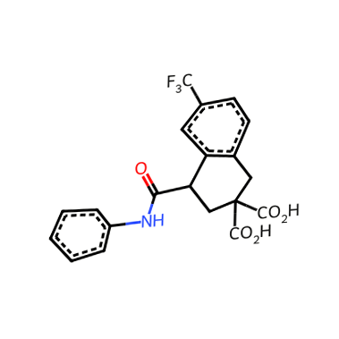 O=C(Nc1ccccc1)C1CC(C(=O)O)(C(=O)O)Cc2ccc(C(F)(F)F)cc21